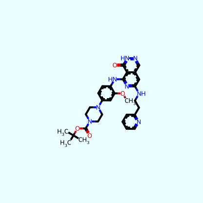 COc1cc(N2CCN(C(=O)OC(C)(C)C)CC2)ccc1Nc1nc(NCCc2ccccn2)cc2cn[nH]c(=O)c12